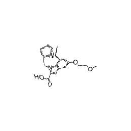 CCc1cc(OCCOC)cc2cc(C(=O)O)n(Cc3ccccn3)c12